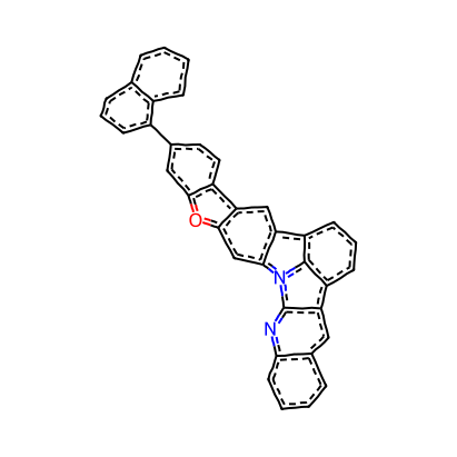 c1ccc2nc3c(cc2c1)c1cccc2c4cc5c(cc4n3c21)oc1cc(-c2cccc3ccccc23)ccc15